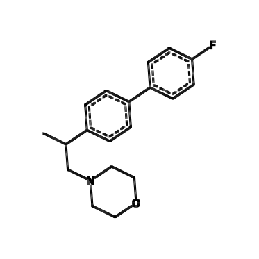 CC(CN1CCOCC1)c1ccc(-c2ccc(F)cc2)cc1